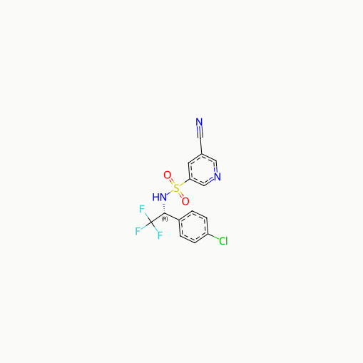 N#Cc1cncc(S(=O)(=O)N[C@H](c2ccc(Cl)cc2)C(F)(F)F)c1